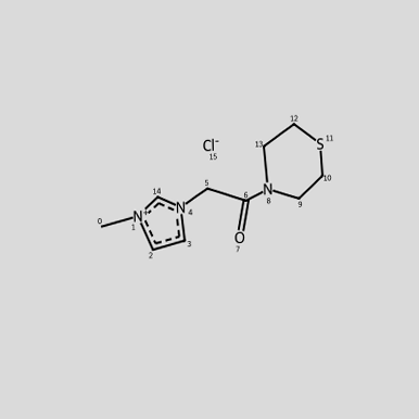 C[n+]1ccn(CC(=O)N2CCSCC2)c1.[Cl-]